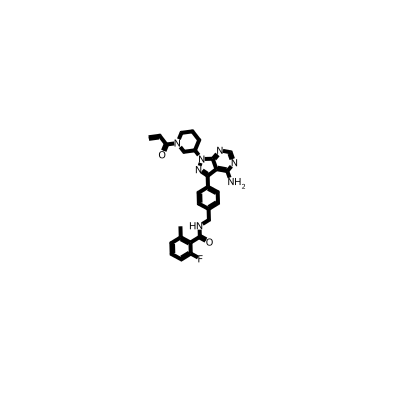 C=CC(=O)N1CCCC(n2nc(-c3ccc(CNC(=O)c4c(C)cccc4F)cc3)c3c(N)ncnc32)C1